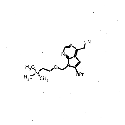 CCCc1cc2c(CC#N)ncnc2n1COCC[Si](C)(C)C